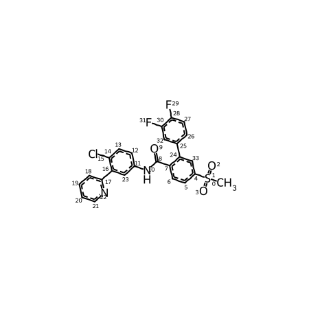 CS(=O)(=O)c1ccc(C(=O)Nc2ccc(Cl)c(-c3ccccn3)c2)c(-c2ccc(F)c(F)c2)c1